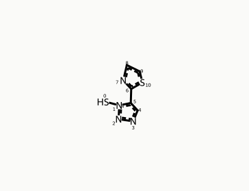 Sn1nncc1-c1nccs1